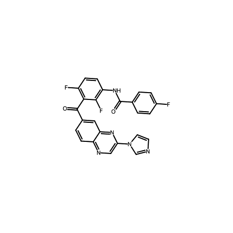 O=C(Nc1ccc(F)c(C(=O)c2ccc3ncc(-n4ccnc4)nc3c2)c1F)c1ccc(F)cc1